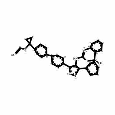 C[C@@H](OC(=O)Nc1c(-c2ccccc2)noc1-c1ccc(-c2ccc(C3(OC=O)CC3)cc2)cc1)c1ccccc1Cl